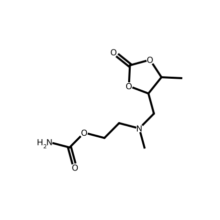 CC1OC(=O)OC1CN(C)CCOC(N)=O